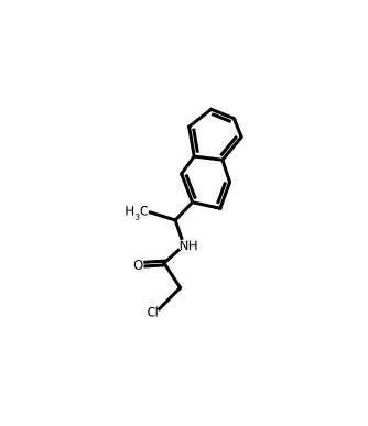 CC(NC(=O)CCl)c1ccc2ccccc2c1